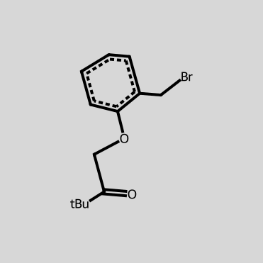 CC(C)(C)C(=O)COc1ccccc1CBr